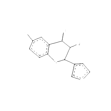 CCCC1C(C)c2cc(C(F)(F)F)ccc2NC1c1ccsc1